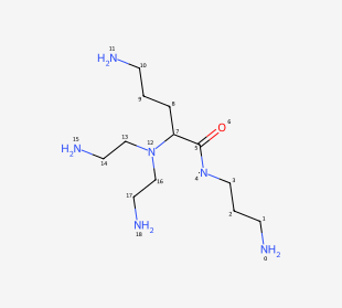 NCCC[N]C(=O)C(CCCN)N(CCN)CCN